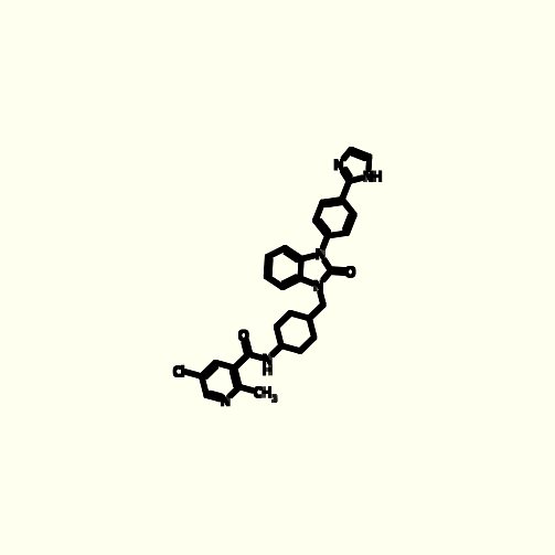 Cc1ncc(Cl)cc1C(=O)NC1CCC(Cn2c(=O)n(-c3ccc(-c4ncc[nH]4)cc3)c3ccccc32)CC1